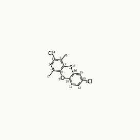 Cc1cc(Cl)c(C)c2c1Oc1ccc(Cl)cc1S2